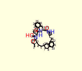 CC(C)[C@@H]1CCC2CCc3cccc(c3C2)CCCNC(=O)[C@@H](Cc2ccccc2)NC(=O)[C@H](C(C)O)N(C)C1=O